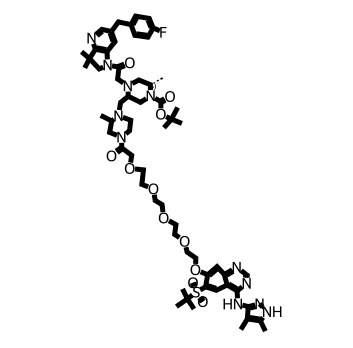 Cc1[nH]nc(Nc2ncnc3cc(OCCOCCOCCOCCOCC(=O)N4CCN(CC5CN(C(=O)OC(C)(C)C)[C@@H](C)CN5CC(=O)N5CC(C)(C)c6ncc(Cc7ccc(F)cc7)cc65)C(C)C4)c(S(=O)(=O)C(C)(C)C)cc23)c1C